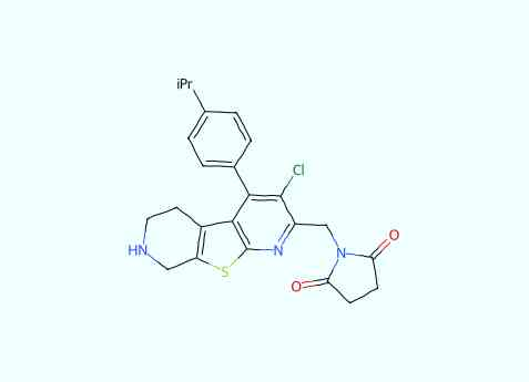 CC(C)c1ccc(-c2c(Cl)c(CN3C(=O)CCC3=O)nc3sc4c(c23)CCNC4)cc1